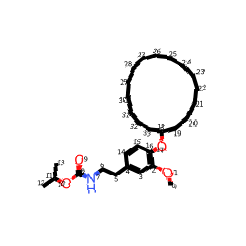 COc1cc(CCNC(=O)OC(C)C)ccc1OC1CCCCCCCCCCCCCCC1